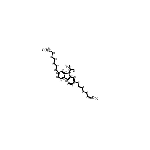 CCCCCCCCCCCCCCCCc1ccc2c3ccc(CCCCCCCCCCCCCCCC)cc3n(C(C)O)c2c1